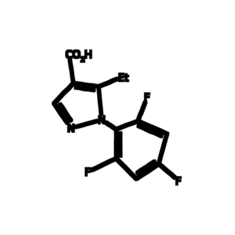 CCc1c(C(=O)O)cnn1-c1c(F)cc(F)cc1F